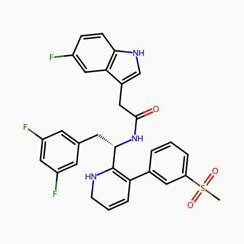 CS(=O)(=O)c1cccc(C2=C([C@H](Cc3cc(F)cc(F)c3)NC(=O)Cc3c[nH]c4ccc(F)cc34)NCC=C2)c1